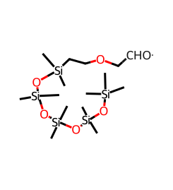 C[Si](C)(C)O[Si](C)(C)O[Si](C)(C)O[Si](C)(C)O[Si](C)(C)CCOC[C]=O